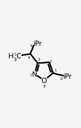 CC(C)c1cc(C(C)C(C)C)no1